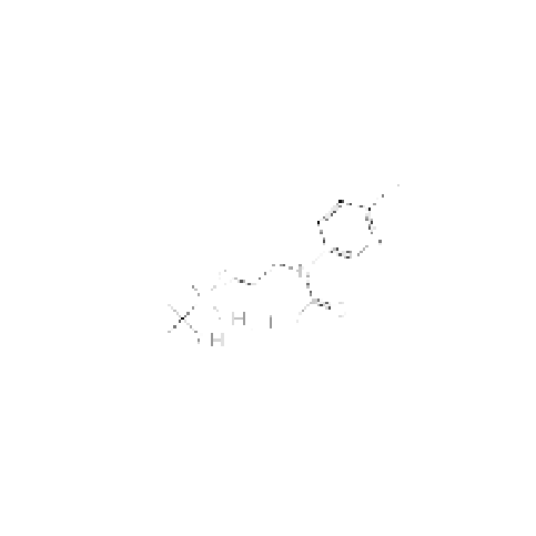 CC(C)(C)[Si](C)(C)OCCN(C(=O)O)c1ccc(Br)nc1